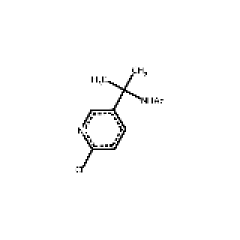 CC(=O)NC(C)(C)c1ccc(Cl)nc1